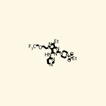 CCc1nn(CCOCC(F)(F)F)c2c(Nc3ccncn3)nc(N3CCN(S(=O)(=O)CC)CC3)nc12